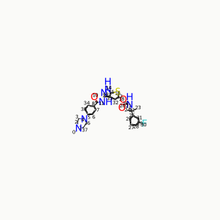 CN1CCN(c2ccc(C(=O)Nc3n[nH]c4sc(OC(=O)NC(C)(C)c5cccc(F)c5)cc34)cc2)CC1